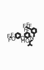 CC(C)C(O)CN(Cc1cccc(C(F)(F)C(F)(F)F)c1)c1cccc(Oc2cccc(OC(F)(F)F)c2)c1